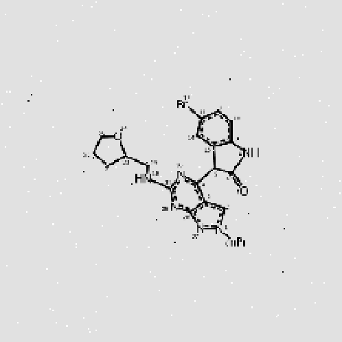 CCCn1cc2c(C3C(=O)Nc4ccc(Br)cc43)nc(NCC3CCCO3)nc2n1